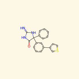 N=C1NC(=O)C(c2ccccc2)(c2cccc(-c3ccsc3)c2)N1